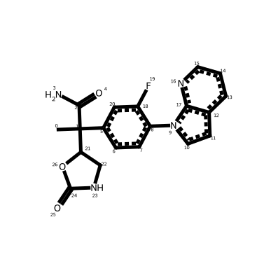 CC(C(N)=O)(c1ccc(-n2ccc3cccnc32)c(F)c1)C1CNC(=O)O1